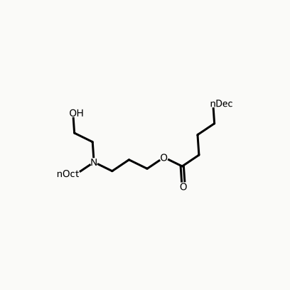 CCCCCCCCCCCCCC(=O)OCCCN(CCO)CCCCCCCC